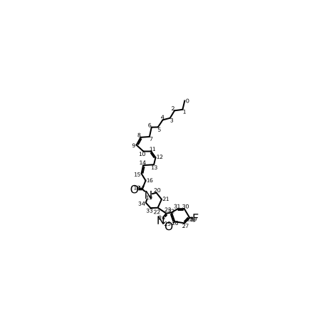 CCCCCCCC/C=C\C/C=C\C/C=C\CC(=O)N1CCC(c2noc3cc(F)ccc23)CC1